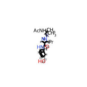 CC(=O)NC(C)(C)/C=C/n1ncc(C(=O)N[C@H]2C3CC4CC2C[C@](CO)(C4)C3)c1C(C)C